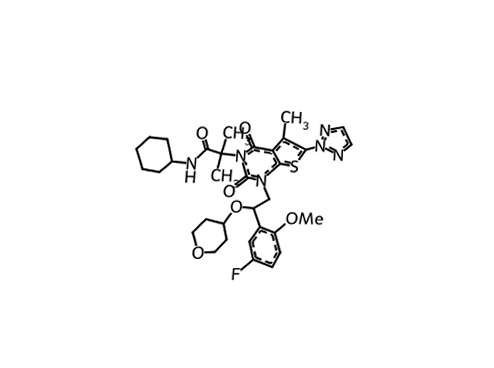 COc1ccc(F)cc1C(Cn1c(=O)n(C(C)(C)C(=O)NC2CCCCC2)c(=O)c2c(C)c(-n3nccn3)sc21)OC1CCOCC1